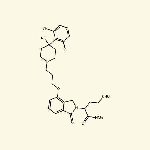 CNC(=O)C(CCC=O)N1Cc2c(OCCCN3CCC(C#N)(c4c(F)cccc4Cl)CC3)cccc2C1=O